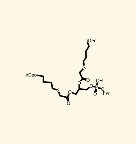 CCCCCCCCCCCCCCSCC(=O)OCC(COP(=O)(O)OCCC)OC(=O)CSCCCCCCCCCCCCCC